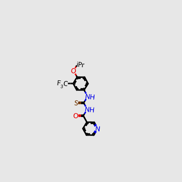 CC(C)Oc1ccc(NC(=S)NC(=O)c2cccnc2)cc1C(F)(F)F